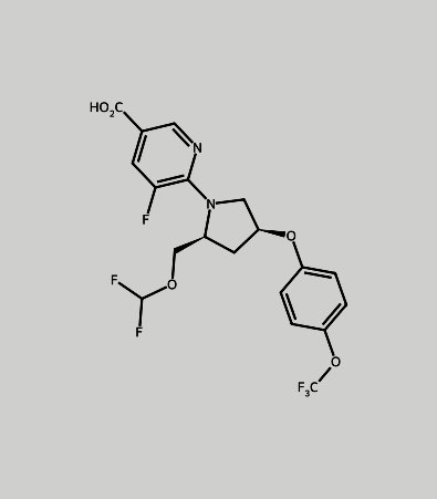 O=C(O)c1cnc(N2C[C@@H](Oc3ccc(OC(F)(F)F)cc3)C[C@H]2COC(F)F)c(F)c1